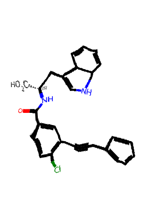 O=C(N[C@@H](CC1=CNC2C=CC=CC12)C(=O)O)c1ccc(Cl)c(C#Cc2ccccc2)c1